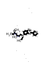 C#CCN(C/C=C(O)\C=C(/C=C)OC)c1ccc2ncc(-c3cccnc3)nc2c1